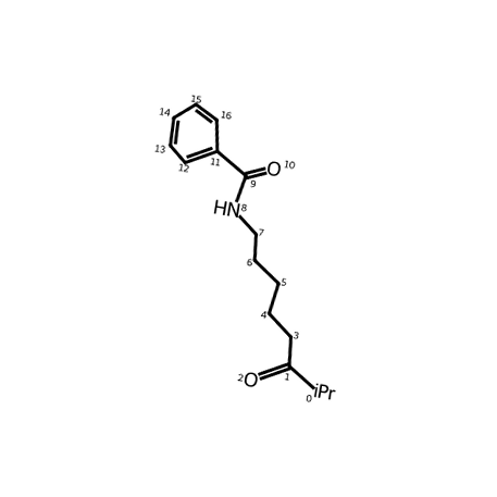 CC(C)C(=O)CCCCCNC(=O)c1ccccc1